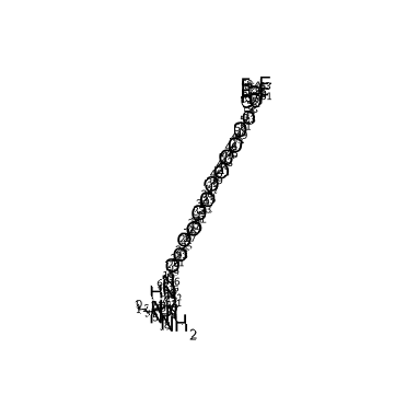 CCCCc1nc2c(N)nc3ccc(N4CCN(CCOCCOCCOCCOCCOCCOCCOCCOCCOCCOCCOCCOCCC(=O)Oc5c(F)c(F)cc(F)c5F)CC4)cc3c2[nH]1